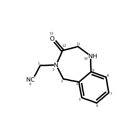 N#CCN1Cc2ccccc2NCC1=O